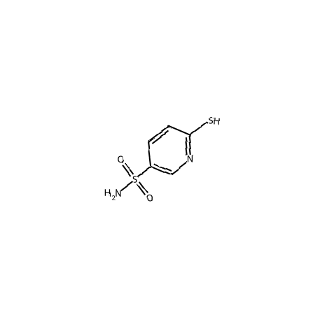 NS(=O)(=O)c1ccc(S)nc1